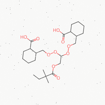 CCC(C)(C)C(=O)OCC(OOCC1CCCCC1C(=O)O)OOCC1CCCCC1C(=O)O